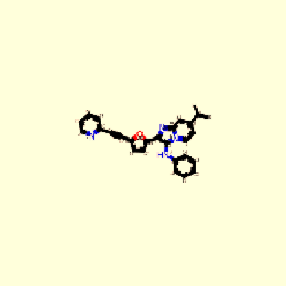 CC(C)c1ccn2c(Nc3ccccc3)c(-c3ccc(C#Cc4ccccn4)o3)nc2c1